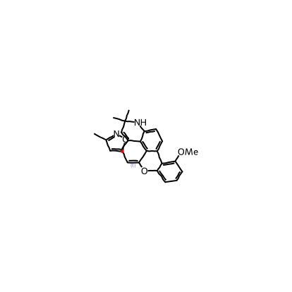 COc1cccc2c1-c1ccc3c(c1/C(=C\c1cc(C)no1)O2)C(C)=CC(C)(C)N3